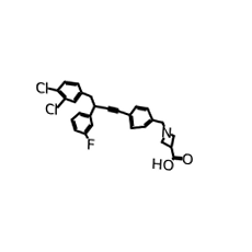 O=C(O)C1CN(Cc2ccc(C#CC(Cc3ccc(Cl)c(Cl)c3)c3cccc(F)c3)cc2)C1